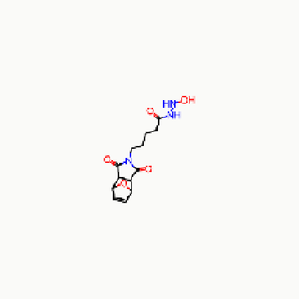 O=C(CCCCN1C(=O)C2C3C=CC(O3)C2C1=O)NNO